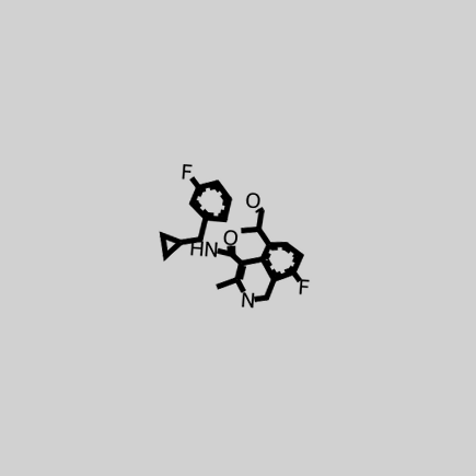 CC1=C(C(=O)N[C@H](c2cccc(F)c2)C2CC2)c2c(C(C)C=O)ccc(F)c2C[N]1